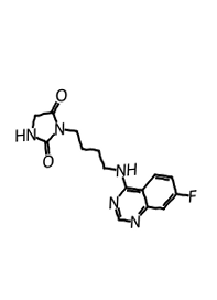 O=C1CNC(=O)N1CCCCNc1ncnc2cc(F)ccc12